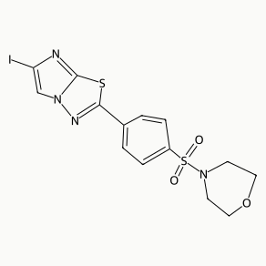 O=S(=O)(c1ccc(-c2nn3cc(I)nc3s2)cc1)N1CCOCC1